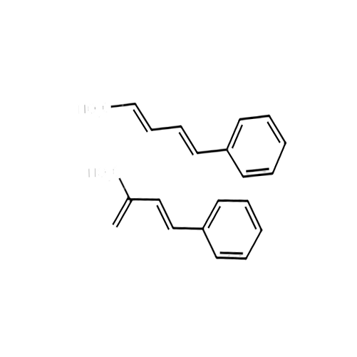 C=C(C=Cc1ccccc1)C(=O)O.O=C(O)C=CC=Cc1ccccc1